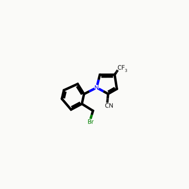 N#Cc1cc(C(F)(F)F)cn1-c1ccccc1CBr